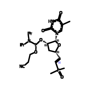 Cc1cn([C@@H]2O[C@H](/C=C/P(C)(C)=O)C[C@@H]2OP(OCCC#N)N(C(C)C)C(C)C)c(=O)[nH]c1=O